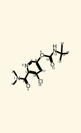 CN(C)C(=O)c1ncc(OC(=O)NC(C)(C)C)cc1Cl